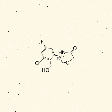 O=C1COC[C@@H](c2cc(F)cc(Cl)c2CO)N1